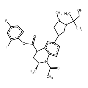 CC(=O)N1c2ccc(C3CN(C)N(C(C)(C)CO)C3)cc2N(C(=O)Oc2ccc(F)cc2F)C[C@@H]1C